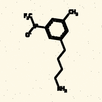 Cc1cc(CCCCN)cc([S+]([O-])C(F)(F)F)c1